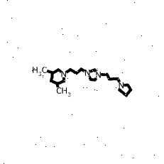 CC1CC(C)CN(CCCN2[C]N(CCCN3CCCC3)CC2)C1